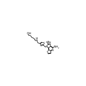 CCCCc1nc2c(N)nc3ccsc3c2n1Cc1nc(CNCCCCCO)cs1